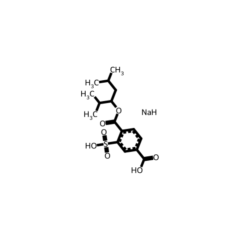 CC(C)CC(OC(=O)c1ccc(C(=O)O)cc1S(=O)(=O)O)C(C)C.[NaH]